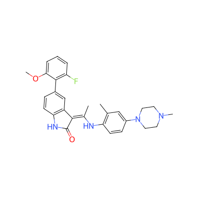 COc1cccc(F)c1-c1ccc2c(c1)/C(=C(\C)Nc1ccc(N3CCN(C)CC3)cc1C)C(=O)N2